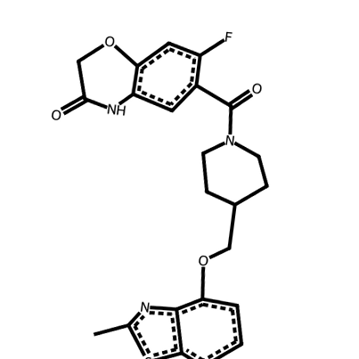 Cc1nc2c(OCC3CCN(C(=O)c4cc5c(cc4F)OCC(=O)N5)CC3)cccc2s1